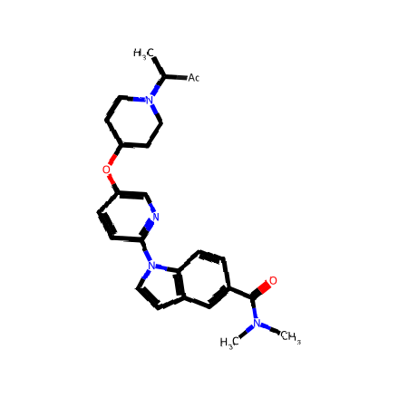 CC(=O)C(C)N1CCC(Oc2ccc(-n3ccc4cc(C(=O)N(C)C)ccc43)nc2)CC1